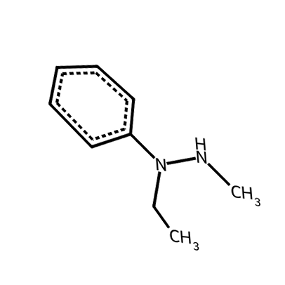 CCN(NC)c1ccccc1